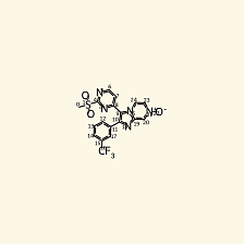 CS(=O)(=O)c1nccc(-c2c(-c3cccc(C(F)(F)F)c3)nc3c[n+]([O-])ccn23)n1